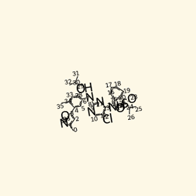 Cc1cc(-c2cc(Nc3ncc(Cl)c(Nc4ccccc4S(=O)(=O)C(C)C)n3)c(OC(C)C)cc2C)on1